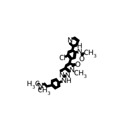 CC(=O)Nc1cc(-c2cc3cnc(Nc4ccc(CCN(C)C)cc4)nc3n(C)c2=O)c(Cl)cc1-c1cccnc1